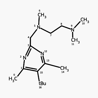 Cc1nc(CN(C)CCN(C)C)nc(C)c1C(C)(C)C